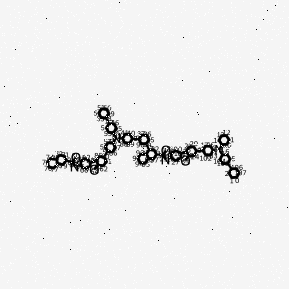 c1ccc(-c2ccc(N(c3ccccc3)c3ccc(-c4ccc5c(c4)oc4cc6nc(-c7cc(-c8cccc(-c9ccc(N(c%10ccc(-c%11ccccc%11)cc%10)c%10ccc(-c%11ccc%12oc%13cc%14nc(-c%15ccc%16ccccc%16c%15)oc%14cc%13c%12c%11)cc%10)cc9)c8)c8ccccc8c7)oc6cc45)cc3)cc2)cc1